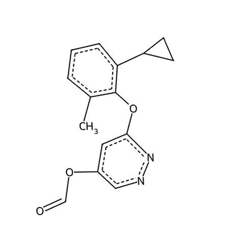 Cc1cccc(C2CC2)c1Oc1cc(OC=O)cnn1